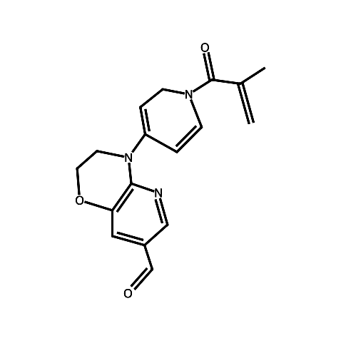 C=C(C)C(=O)N1C=CC(N2CCOc3cc(C=O)cnc32)=CC1